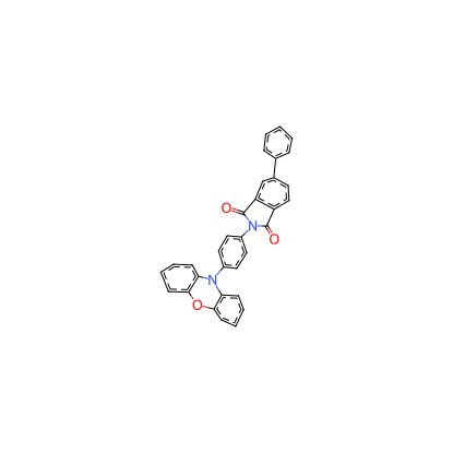 O=C1c2ccc(-c3ccccc3)cc2C(=O)N1c1ccc(N2c3ccccc3Oc3ccccc32)cc1